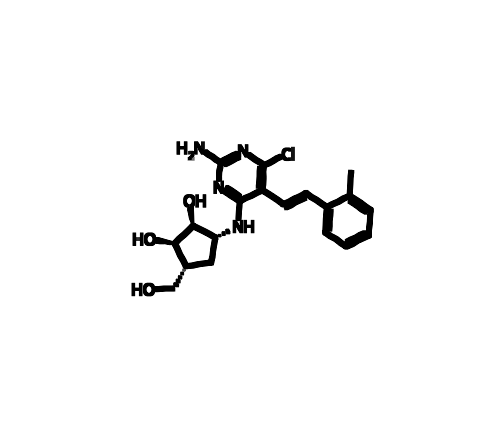 Cc1ccccc1/C=C/c1c(Cl)nc(N)nc1N[C@@H]1C[C@H](CO)[C@@H](O)[C@H]1O